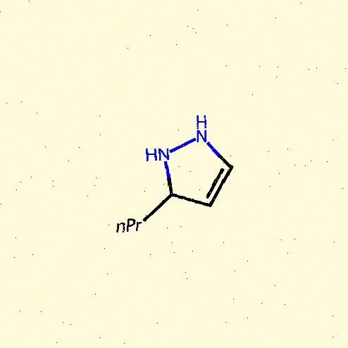 CCCC1C=CNN1